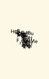 COC(=O)N[C@H](C(=O)N[C@H](c1ccc([C@@H](CO)N(CCC(C)(C)C)S(=O)(=O)c2cc(F)c(CO)c(F)c2)s1)C(F)(F)F)C(c1ccccc1)c1ccccc1